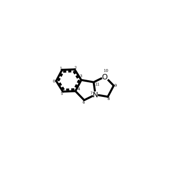 c1ccc2c(c1)CN1CCOC21